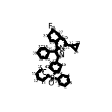 O=P(c1ccccc1)(c1ccccc1)c1ccc(-c2nn3c(C4CC4)cc4cc(F)ccc4c3c2-c2ccccc2)cc1